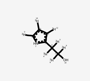 [2H]c1[nH]c(C([2H])([2H])C([2H])([2H])O)c([2H])c1[2H]